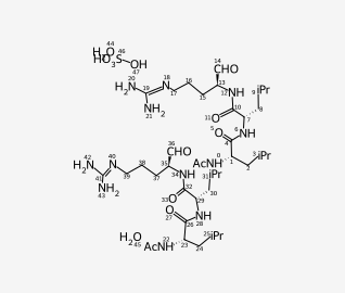 CC(=O)N[C@@H](CC(C)C)C(=O)N[C@@H](CC(C)C)C(=O)N[C@H](C=O)CCCN=C(N)N.CC(=O)N[C@@H](CC(C)C)C(=O)N[C@@H](CC(C)C)C(=O)N[C@H](C=O)CCCN=C(N)N.O.O.O=S(=O)(O)O